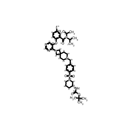 CC(C)N(C(=O)c1cc(F)ccc1Oc1cncnc1N1CC2(CCN(Cc3ccc(S(=O)(=O)N4CCC[C@@H](NC(=O)OC(C)(C)C)C4)cc3)CC2)C1)C(C)C